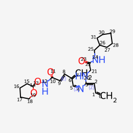 C=C/C=C(\N=C/C(=C)/C=C/C(=O)NOC1CCCCO1)NCC(=O)NCC1CCCCC1